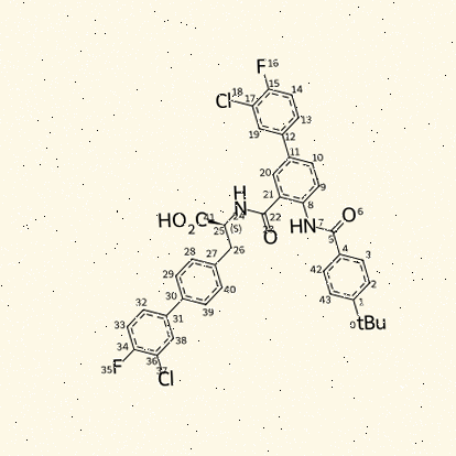 CC(C)(C)c1ccc(C(=O)Nc2ccc(-c3ccc(F)c(Cl)c3)cc2C(=O)N[C@@H](Cc2ccc(-c3ccc(F)c(Cl)c3)cc2)C(=O)O)cc1